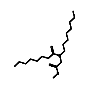 CCCCCCCCN(CC(=O)OC)C(=O)CCCCCCC